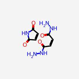 NNC(=O)/C=C\C(=O)NN.O=C1C=CC(=O)N1